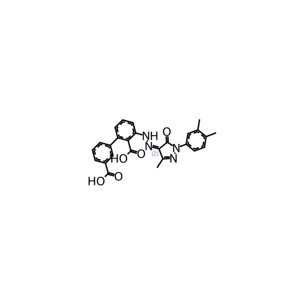 CC1=NN(c2ccc(C)c(C)c2)C(=O)/C1=N\Nc1cccc(-c2cccc(C(=O)O)c2)c1C(=O)O